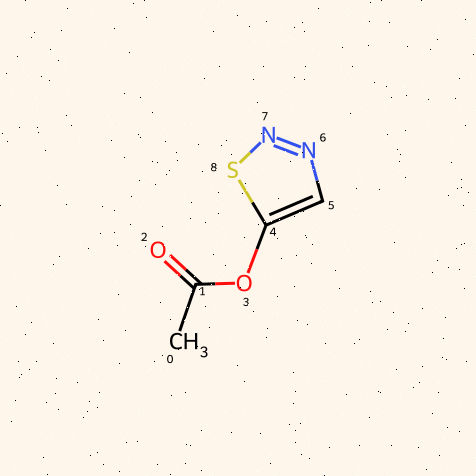 CC(=O)Oc1cnns1